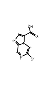 O=C(O)c1cnc2cnc(Br)cn12